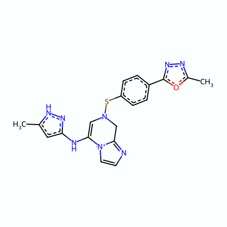 Cc1cc(NC2=CN(Sc3ccc(-c4nnc(C)o4)cc3)CC3=NC=C[N+]23)n[nH]1